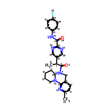 CC(C(=O)NCc1ccc(C(F)(F)F)nc1N1CCCCC1)c1cnc(C(=O)Nc2ccc(F)cc2)nc1